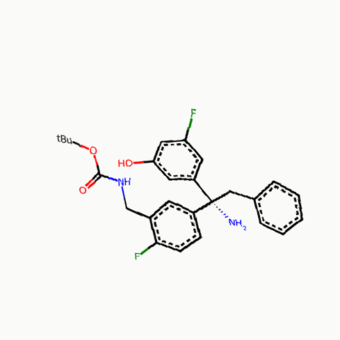 CC(C)(C)OC(=O)NCc1cc([C@](N)(Cc2ccccc2)c2cc(O)cc(F)c2)ccc1F